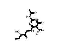 CC[C@H](O)C(=O)CNc1nc(NC(C)=O)[nH]c(=O)c1[N+](=O)[O-]